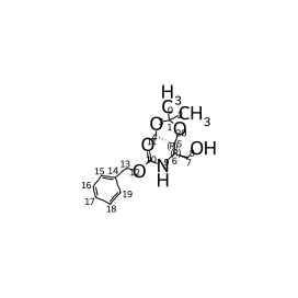 CC1(C)OC[C@@H]([C@@H](CO)NC(=O)OCc2ccccc2)O1